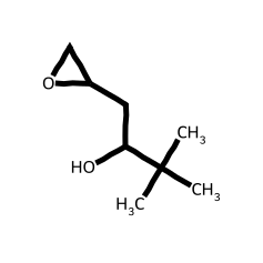 CC(C)(C)C(O)CC1CO1